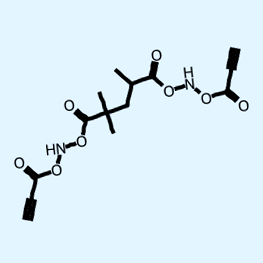 C#CC(=O)ONOC(=O)C(C)CC(C)(C)C(=O)ONOC(=O)C#C